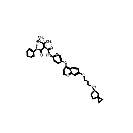 CN/C(C)=C(\C(=O)Nc1ccccc1)C(=O)Nc1ccc(Oc2ccnc3cc(OCCCNC4CCC5(CC5)C4)ccc23)cn1